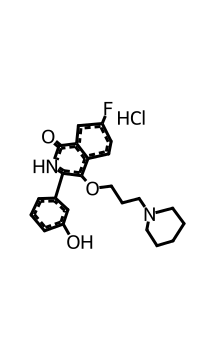 Cl.O=c1[nH]c(-c2cccc(O)c2)c(OCCCN2CCCCC2)c2ccc(F)cc12